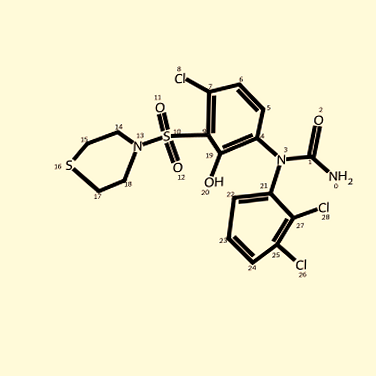 NC(=O)N(c1ccc(Cl)c(S(=O)(=O)N2CCSCC2)c1O)c1cccc(Cl)c1Cl